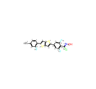 CCCc1ccc(-c2cc3sc(-c4cc(F)c(/C(Cl)=N/O)c(F)c4)cc3s2)c(F)c1